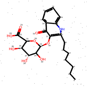 CCCCCCCc1[nH]c2ccccc2c(=O)c1O[C@@H]1OC(C(=O)O)[C@H](O)[C@@H](O)C1O